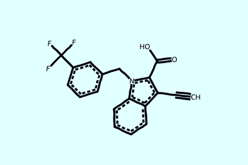 C#Cc1c(C(=O)O)n(Cc2cccc(C(F)(F)F)c2)c2ccccc12